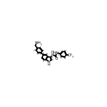 NCc1ccc(-c2ccc3[nH]cc(NC(=O)Nc4ccc(C(F)(F)F)cc4)c3c2)cc1